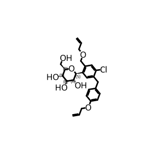 C=CCOCc1cc(Cl)c(Cc2ccc(OCC=C)cc2)cc1[C@@H]1O[C@H](CO)[C@@H](O)[C@H](O)[C@H]1O